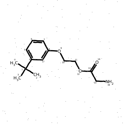 CC(C)(C)c1cccc(OCCOC(=O)CN)c1